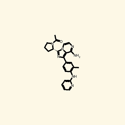 CC(=O)N1CCC[C@H]1c1nc(-c2ccc(Nc3ccccn3)c(C)c2)c2c(N)nccn12